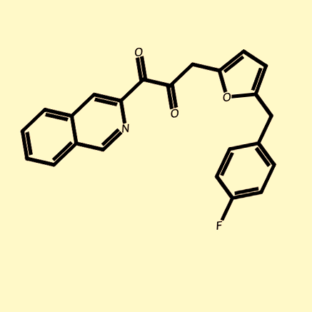 O=C(Cc1ccc(Cc2ccc(F)cc2)o1)C(=O)c1cc2ccccc2cn1